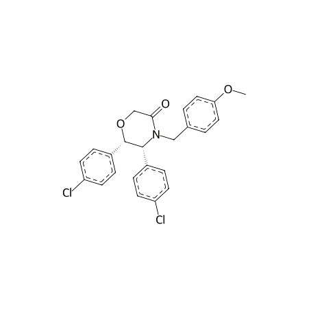 COc1ccc(CN2C(=O)CO[C@@H](c3ccc(Cl)cc3)[C@H]2c2ccc(Cl)cc2)cc1